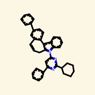 C1=Cc2cc(-c3ccccc3)ccc2-c2c(n(-c3cc(-c4ccccc4)nc(C4CCCCC4)n3)c3ccccc23)C1